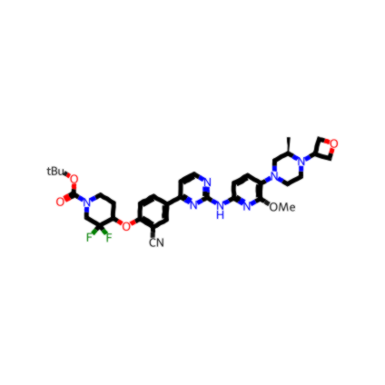 COc1nc(Nc2nccc(-c3ccc(OC4CCN(C(=O)OC(C)(C)C)CC4(F)F)c(C#N)c3)n2)ccc1N1CCN(C2COC2)[C@H](C)C1